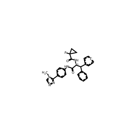 Cn1cnnc1-c1ccc(NC(=O)[C@@H](NC(=O)C2(F)CC2)C(c2ccccc2)c2ccccc2)cc1